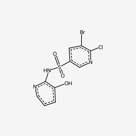 O=S(=O)(Nc1ncccc1O)c1cnc(Cl)c(Br)c1